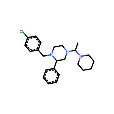 CC(N1CCCCC1)N1CCN(Cc2ccc(Cl)cc2)C(c2ccccc2)C1